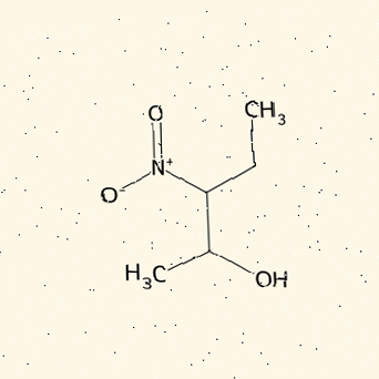 CCC(C(C)O)[N+](=O)[O-]